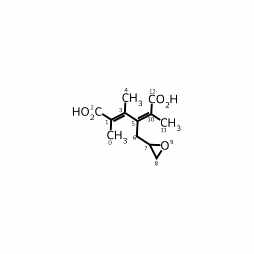 CC(C(=O)O)=C(C)C(CC1CO1)=C(C)C(=O)O